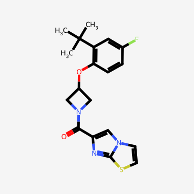 CC(C)(C)c1cc(F)ccc1OC1CN(C(=O)c2cn3ccsc3n2)C1